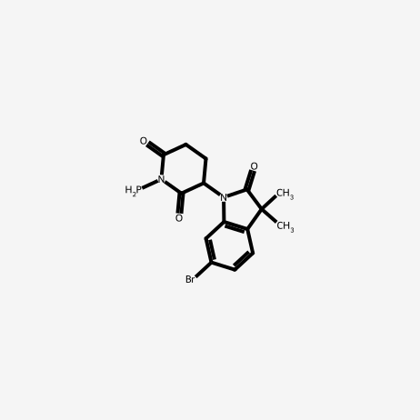 CC1(C)C(=O)N(C2CCC(=O)N(P)C2=O)c2cc(Br)ccc21